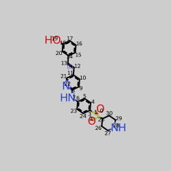 O=S(=O)(c1ccc(Nc2ccc(/C=C/c3cccc(O)c3)cn2)cc1)C1CCNCC1